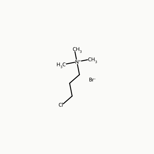 C[N+](C)(C)CCCCl.[Br-]